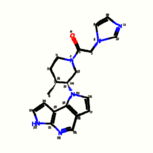 C[C@@H]1CCN(C(=O)Cn2ccnc2)C[C@@H]1n1ccc2cnc3[nH]ccc3c21